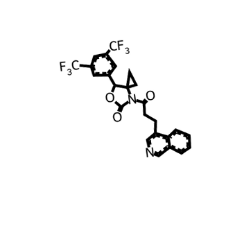 O=C(CCc1cncc2ccccc12)N1C(=O)OC(c2cc(C(F)(F)F)cc(C(F)(F)F)c2)C12CC2